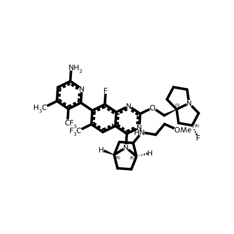 COCCNC1C[C@H]2CC[C@H]1N2c1nc(OC[C@@]23CCCN2C[C@H](F)C3)nc2c(F)c(-c3nc(N)cc(C)c3C(F)(F)F)c(C(F)(F)F)cc12